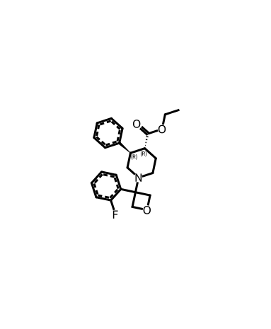 CCOC(=O)[C@@H]1CCN(C2(c3ccccc3F)COC2)C[C@H]1c1ccccc1